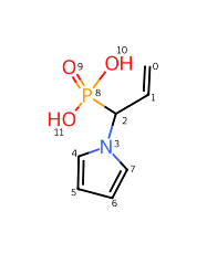 C=CC(n1cccc1)P(=O)(O)O